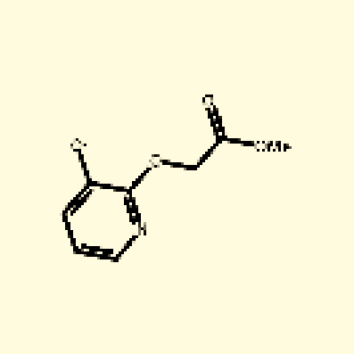 COC(=O)COc1ncccc1[O]